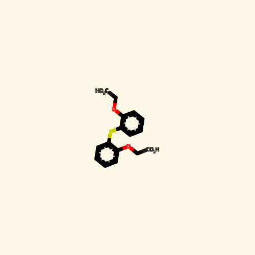 O=C(O)COc1ccccc1Sc1ccccc1OCC(=O)O